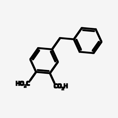 O=C(O)c1ccc(Cc2ccccc2)cc1C(=O)O